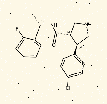 C[C@H](NC(=O)[C@@H]1CNC[C@H]1c1ccc(Cl)cn1)c1ccccc1F